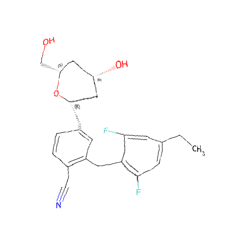 CCc1cc(F)c(Cc2cc([C@H]3C[C@@H](O)C[C@@H](CO)O3)ccc2C#N)c(F)c1